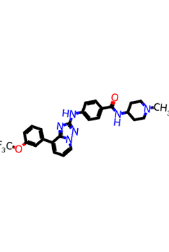 CN1CCC(NC(=O)c2ccc(Nc3nc4c(-c5cccc(OC(F)(F)F)c5)cccn4n3)cc2)CC1